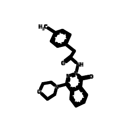 Cc1ccc(CC(=O)Nn2nc(N3CCOCC3)c3ccccc3c2=O)cc1